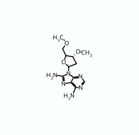 COCC1OC(n2c(N)nc3c(N)ncnc32)C[C@H]1OC